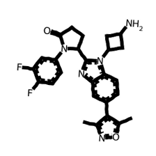 Cc1noc(C)c1-c1ccc2c(c1)nc(C1CCC(=O)N1c1ccc(F)c(F)c1)n2C1CC(N)C1